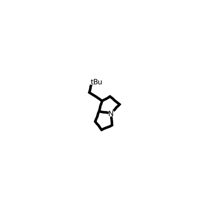 CC(C)(C)CC1CCN2CCCC12